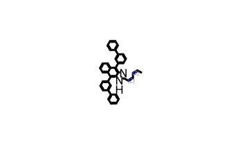 C/C=C\C=C/c1nc2c(-c3cccc(-c4ccccc4)c3)c3ccccc3c(-c3cccc(-c4ccccc4)c3)c2[nH]1